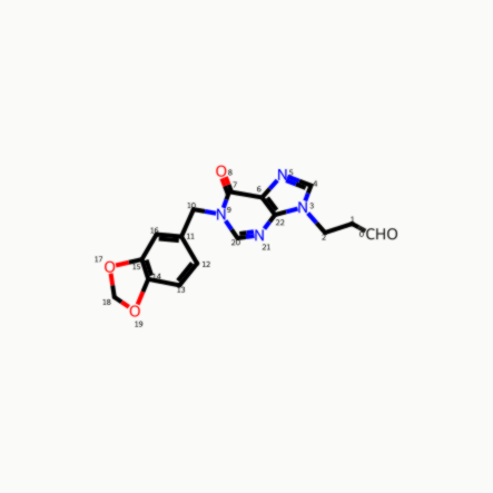 O=CCCn1cnc2c(=O)n(Cc3ccc4c(c3)OCO4)cnc21